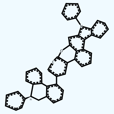 c1ccc([C@@H]2Cc3cccc(-c4ccc5c(c4)-c4cccc6c4c(cc4c6c6ccccc6n4-c4ccccc4)O5)c3-c3ccccc32)cc1